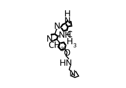 Cc1ncc(C#N)c(Nc2ccc3[nH]ccc3c2C)c1-c1ccc(OCCNCCN2CCCC2)cc1